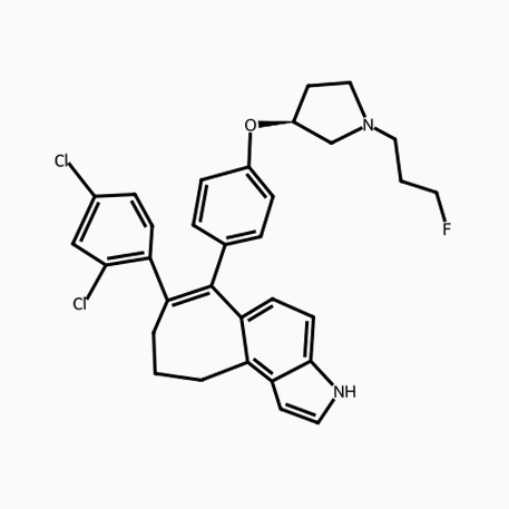 FCCCN1CC[C@H](Oc2ccc(C3=C(c4ccc(Cl)cc4Cl)CCCc4c3ccc3[nH]ccc43)cc2)C1